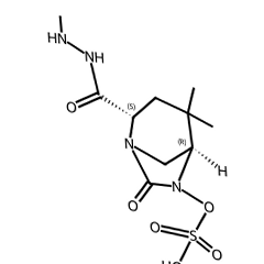 CNNC(=O)[C@@H]1CC(C)(C)[C@@H]2CN1C(=O)N2OS(=O)(=O)O